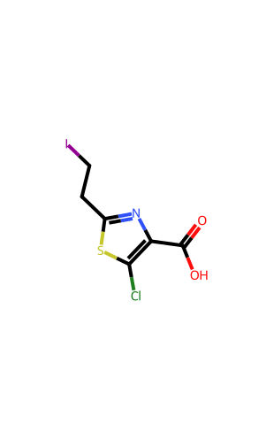 O=C(O)c1nc(CCI)sc1Cl